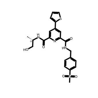 C[C@@H](CO)NC(=O)c1cc(-c2cccs2)cc(C(=O)NCc2ccc(S(C)(=O)=O)cc2)n1